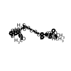 CN[C@@H](C)C(=O)N[C@H](C(=O)N1CCC[C@H]1c1nc(-c2ccc(OCCOCCOCCOCCN(C)C(=O)CCNc3nc(N4CCN(C(C)=O)CC4)c4cc(Cl)c(-c5c(O)cccc5F)c(F)c4n3)c3ccccc23)cs1)C1CCCCC1